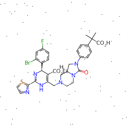 CCOC(=O)C1=C(CN2CCN3C(=O)N(c4ccc(C(C)(C)C(=O)O)cc4)C[C@@H]3C2)NC(c2nccs2)=N[C@H]1c1ccc(F)cc1Br